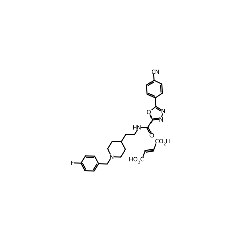 N#Cc1ccc(-c2nnc(C(=O)NCCC3CCN(Cc4ccc(F)cc4)CC3)o2)cc1.O=C(O)C=CC(=O)O